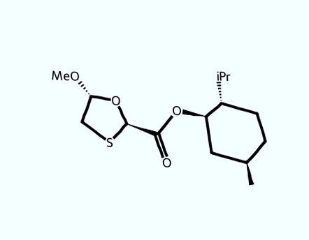 CO[C@H]1CS[C@H](C(=O)O[C@@H]2C[C@H](C)CC[C@H]2C(C)C)O1